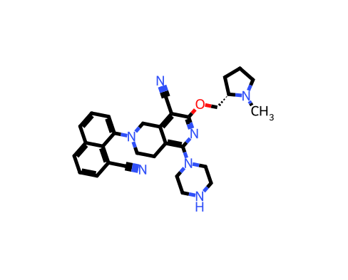 CN1CCC[C@H]1COc1nc(N2CCNCC2)c2c(c1C#N)CN(c1cccc3cccc(C#N)c13)CC2